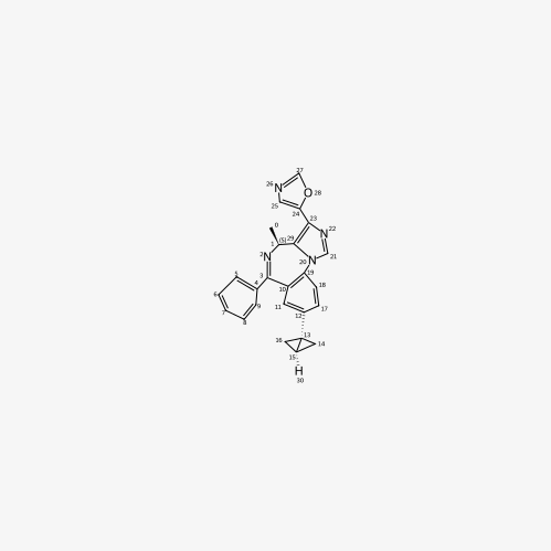 C[C@@H]1N=C(c2ccccc2)c2cc([C@]34C[C@H]3C4)ccc2-n2cnc(-c3cnco3)c21